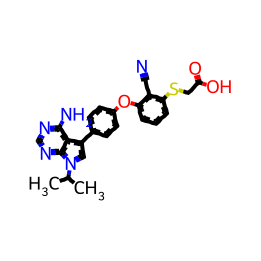 CC(C)n1cc(-c2ccc(Oc3cccc(SCC(=O)O)c3C#N)cc2)c2c(N)ncnc21